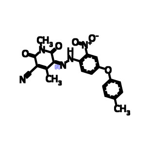 CC1=C(C#N)C(=O)N(C)C(=O)/C1=N\Nc1ccc(Oc2ccc(C)cc2)cc1[N+](=O)[O-]